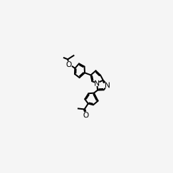 CC(=O)c1ccc(-c2cnc3ccc(-c4ccc(OC(C)C)cc4)cn23)cc1